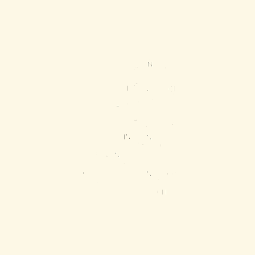 CC(=O)N1CCC(NC2CCOCC2)=C(C(=N)N2CCCc3cc(-c4ccncc4Cl)c(C(F)F)cc32)C1